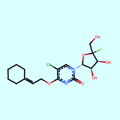 O=c1nc(OCC=C2CCCCC2)c(Cl)cn1[C@@H]1O[C@](F)(CO)[C@@H](O)[C@H]1O